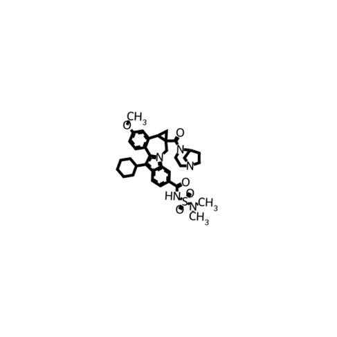 COc1ccc2c(c1)C1CC1(C(=O)N1CCN3CCC1C3)Cn1c-2c(C2CCCCC2)c2ccc(C(=O)NS(=O)(=O)N(C)C)cc21